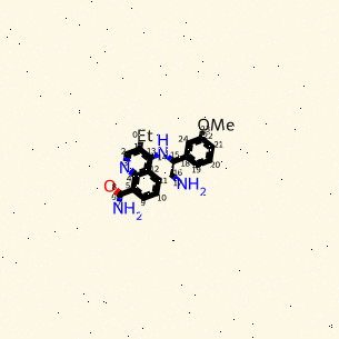 CCc1cnc2c(C(N)=O)cccc2c1N[C@H](CN)c1cccc(OC)c1